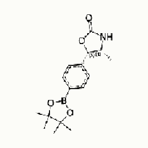 C[C@H]1NC(=O)O[C@H]1c1ccc(B2OC(C)(C)C(C)(C)O2)cc1